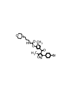 Cc1onc(-c2ccc(Br)cc2)c1C(=O)c1cc(OC(=O)NCCCN2CCOCC2)n(C)c1